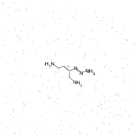 NC/C=C(\CN)N=NN